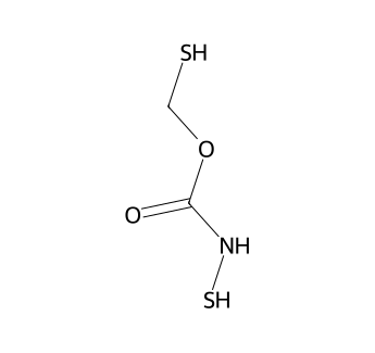 O=C(NS)OCS